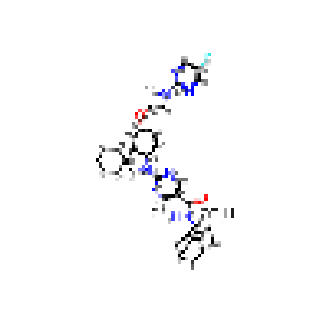 O=C(NC1(C(=O)O)C2CC3CC(C2)CC1C3)c1cnc(N2CC3(CCCCC3)c3cc(OC4CN(c5ncc(F)cn5)C4)ccc32)nc1C(F)(F)F